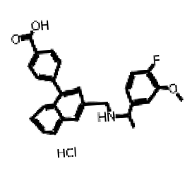 COc1cc(C(C)NCc2cc(-c3ccc(C(=O)O)cc3)c3ccccc3c2)ccc1F.Cl